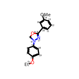 CCOc1ccc(N2[CH]OC(c3cccc(OC)c3)=N2)cc1